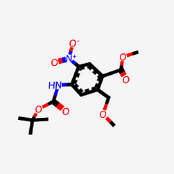 COCc1cc(NC(=O)OC(C)(C)C)c([N+](=O)[O-])cc1C(=O)OC